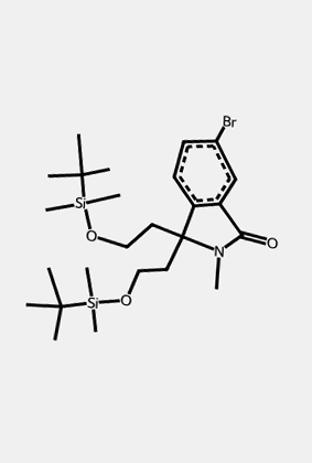 CN1C(=O)c2cc(Br)ccc2C1(CCO[Si](C)(C)C(C)(C)C)CCO[Si](C)(C)C(C)(C)C